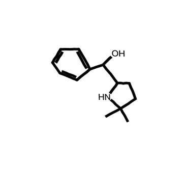 CC1(C)CCC(C(O)c2ccccc2)N1